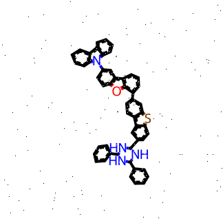 c1ccc(C2NC(c3ccccc3)NC(c3ccc4sc5cc(-c6cccc7c6oc6ccc(-n8c9ccccc9c9ccccc98)cc67)ccc5c4c3)N2)cc1